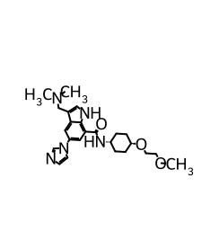 COCCO[C@H]1CC[C@H](NC(=O)c2cc(-n3ccnc3)cc3c(CN(C)C)c[nH]c23)CC1